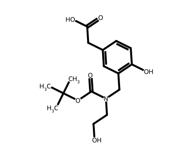 CC(C)(C)OC(=O)N(CCO)Cc1cc(CC(=O)O)ccc1O